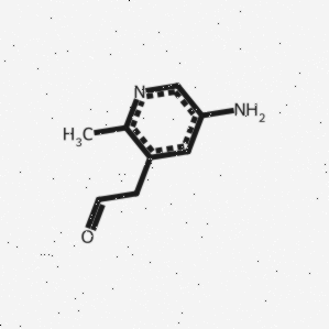 Cc1ncc(N)cc1CC=O